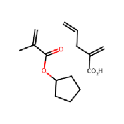 C=C(C)C(=O)OC1CCCC1.C=CCC(=C)C(=O)O